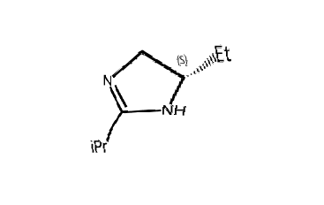 CC[C@H]1CN=C(C(C)C)N1